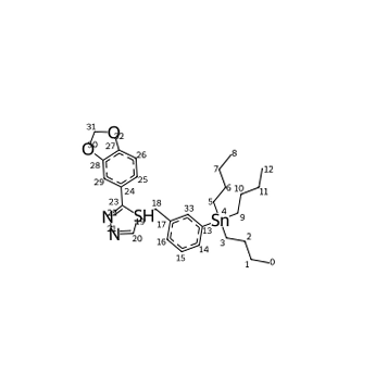 CCC[CH2][Sn]([CH2]CCC)([CH2]CCC)[c]1cccc(C[SH]2C=NN=C2c2ccc3c(c2)OCO3)c1